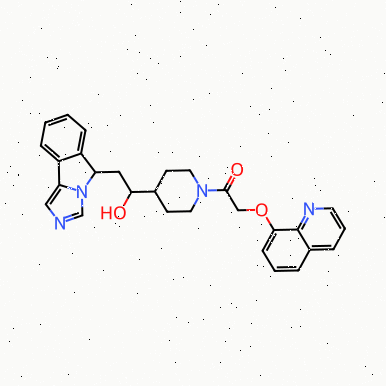 O=C(COc1cccc2cccnc12)N1CCC(C(O)CC2c3ccccc3-c3cncn32)CC1